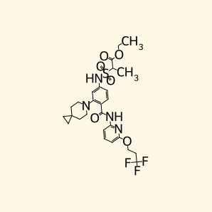 CCOC(=O)C(C)S(=O)(=O)Nc1ccc(C(=O)Nc2cccc(OCCC(F)(F)F)n2)c(N2CCC3(CC2)CC3)c1